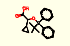 CC(C)(C)[Si](OC(C(=O)O)C1CC1)(c1ccccc1)c1ccccc1